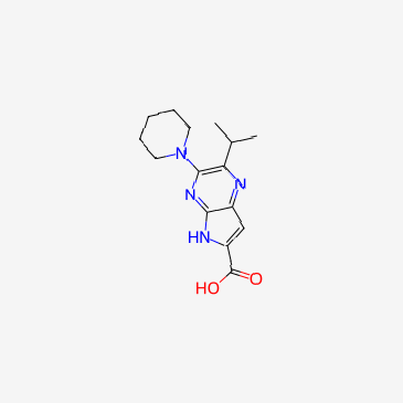 CC(C)c1nc2cc(C(=O)O)[nH]c2nc1N1CCCCC1